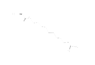 C=CC(=O)NCCCCCCCCCCC(=N)N